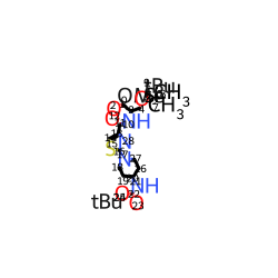 COC(=O)C(CO[Si](C)(C)C(C)(C)C)NC(=O)c1csc(N2CCC(NC(=O)OC(C)(C)C)CC2)n1